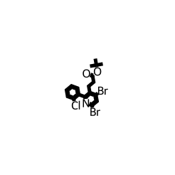 CC(C)(C)OC(=O)CCc1c(Br)cc(Br)nc1-c1ccccc1Cl